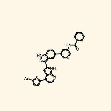 CC(=O)c1ccc(-c2ccnc3[nH]c(-c4n[nH]c5ccc(-c6cncc(NC(=O)c7ccccc7)c6)cc45)cc23)s1